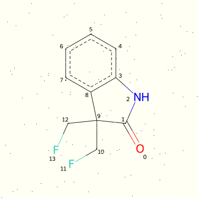 O=C1Nc2ccc[c]c2C1(CF)CF